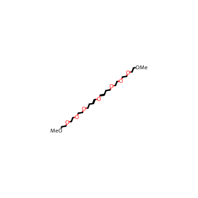 COCCOCCOCCOCCC=COC=CCCOCCOCCOCCOC